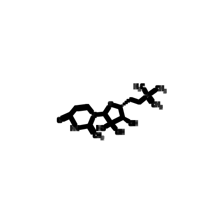 C=C1NC(=O)C=CN1C1O[C@H](CCP(=C)(C)C)[C@@H](O)C1(O)O